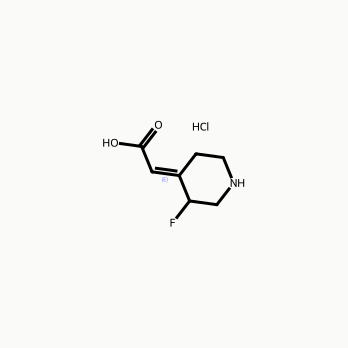 Cl.O=C(O)/C=C1\CCNCC1F